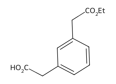 CCOC(=O)Cc1cccc(CC(=O)O)c1